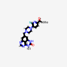 CCN1C(=O)Nc2cc(CN3CCN(c4ccc(C(=O)NC)nc4F)CC3)cc3ncnc1c23